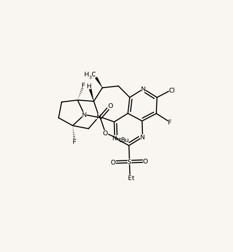 CCS(=O)(=O)c1nc2c3c(nc(Cl)c(F)c3n1)C[C@H](C)[C@@H]1N2C[C@@]2(F)CC[C@]1(F)N2C(=O)OC(C)(C)C